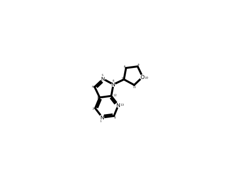 c1ncc2cnn(C3CCOC3)c2n1